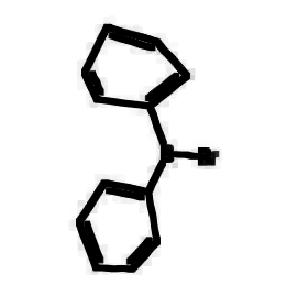 BrB(c1ccccc1)c1ccccc1